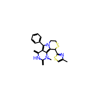 C=C1NC(=C)N(C)c2c1c(-c1ccccc1)n1c2C(c2nc(C)cs2)SCC1